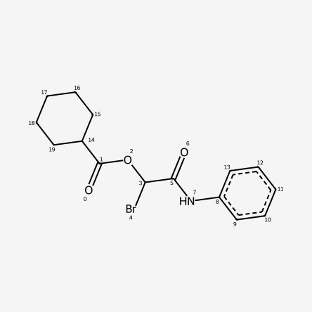 O=C(OC(Br)C(=O)Nc1ccccc1)C1CCCCC1